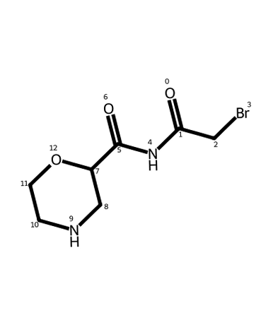 O=C(CBr)NC(=O)C1CNCCO1